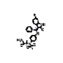 CC(C)(C(N)=O)N(c1ccc(N/C(=C2\C(=O)Nc3cc(F)ccc32)c2ccccc2)cc1)S(C)(=O)=O